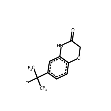 O=C1COc2ccc(C(F)(C(F)(F)F)C(F)(F)F)cc2N1